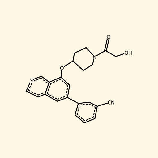 N#Cc1cccc(-c2cc(OC3CCN(C(=O)CO)CC3)c3cnccc3c2)c1